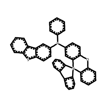 c1ccc(N(c2ccc3c(c2)[Si]2(c4ccccc4O3)c3ccccc3-c3ccccc32)c2ccc3sc4ccccc4c3c2)cc1